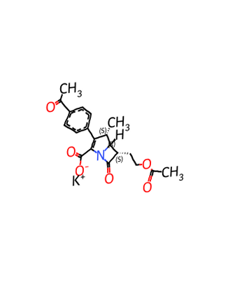 CC(=O)OCC[C@@H]1C(=O)N2C(C(=O)[O-])=C(c3ccc(C(C)=O)cc3)[C@H](C)[C@H]12.[K+]